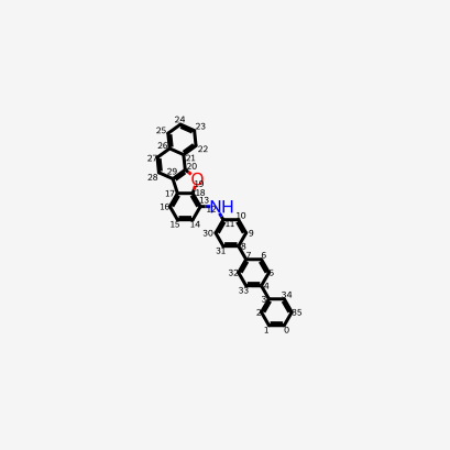 c1ccc(-c2ccc(-c3ccc(Nc4cccc5c4oc4c6ccccc6ccc54)cc3)cc2)cc1